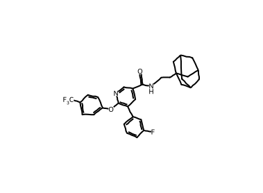 O=C(NCCC12CC3CC(CC(C3)C1)C2)c1cnc(Oc2ccc(C(F)(F)F)cc2)c(-c2cccc(F)c2)c1